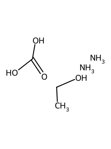 CCO.N.N.O=C(O)O